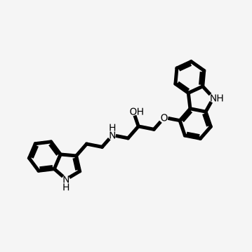 OC(CNCCc1c[nH]c2ccccc12)COc1cccc2[nH]c3ccccc3c12